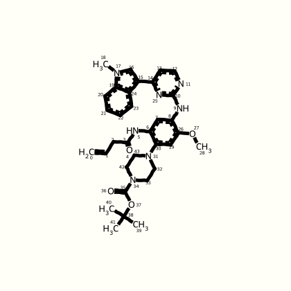 C=CCC(=O)Nc1cc(Nc2nccc(-c3cn(C)c4ccccc34)n2)c(OC)cc1N1CCN(C(=O)OC(C)(C)C)CC1